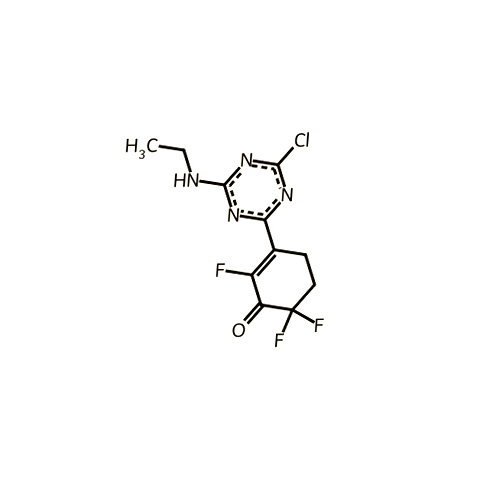 CCNc1nc(Cl)nc(C2=C(F)C(=O)C(F)(F)CC2)n1